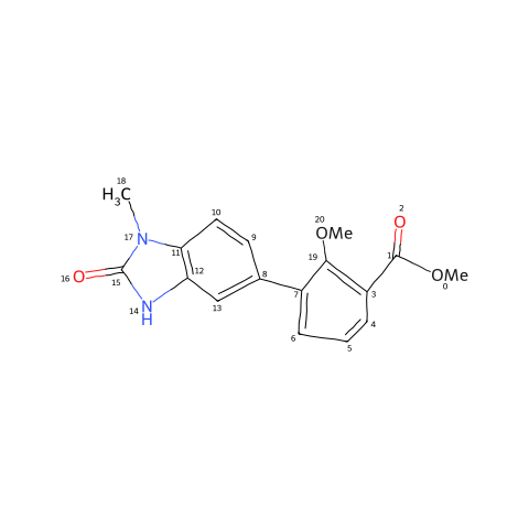 COC(=O)c1cccc(-c2ccc3c(c2)[nH]c(=O)n3C)c1OC